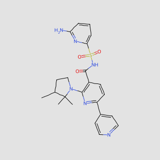 CC1CCN(c2nc(-c3ccncc3)ccc2C(=O)NS(=O)(=O)c2cccc(N)n2)C1(C)C